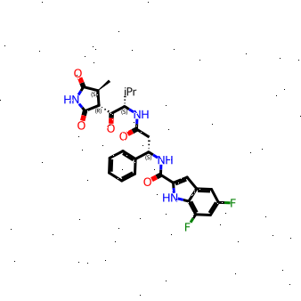 CC(C)[C@H](NC(=O)C[C@H](NC(=O)c1cc2cc(F)cc(F)c2[nH]1)c1ccccc1)C(=O)[C@@H]1C(=O)NC(=O)[C@H]1C